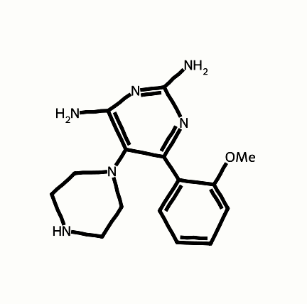 COc1ccccc1-c1nc(N)nc(N)c1N1CCNCC1